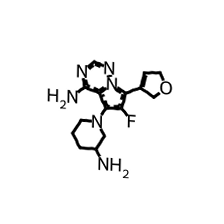 Nc1ncnn2c(C3=CCOC3)c(F)c(N3CCCC(N)C3)c12